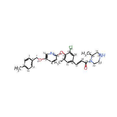 Cc1ccc(COc2ccc(Oc3c(C)cc(/C=C/C(=O)N4CCNC[C@@H]4C)cc3Cl)nc2)cc1